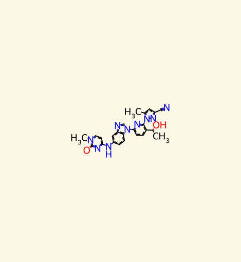 Cc1cc(C#N)nn1-c1nc(-n2cnc3cc(Nc4ccn(C)c(=O)n4)ccc32)ccc1C(C)O